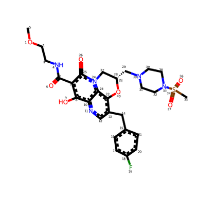 COCCNC(=O)c1c(O)c2ncc(Cc3ccc(F)cc3)c3c2n(c1=O)C[C@H](CN1CCN(S(C)(=O)=O)CC1)O3